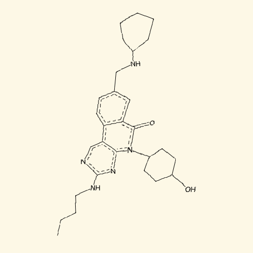 CCCCNc1ncc2c3ccc(CNC4CCCCC4)cc3c(=O)n(C3CCC(O)CC3)c2n1